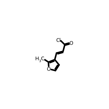 Cc1occc1/C=C/C(=O)Cl